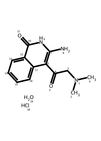 CN(C)CC(=O)c1c(N)[nH]c(=O)c2ccccc12.Cl.O